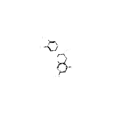 OC1=CCC([C@H]2Oc3cc(O)cc(O)c3C[C@@H]2O)C=C1O